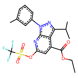 CCOC(=O)c1cc(OS(=O)(=O)C(F)(F)F)nc2c1c(C(C)C)nn2-c1cccc(C)c1